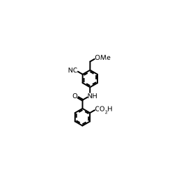 COCc1ccc(NC(=O)c2ccccc2C(=O)O)cc1C#N